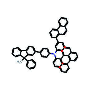 CC1(c2ccccc2)c2ccccc2-c2ccc(-c3ccc(N(c4cccc(-c5cccc6c5ccc5ccccc56)c4)c4ccccc4-c4cccc5cccc(-c6ccccc6)c45)cc3)cc21